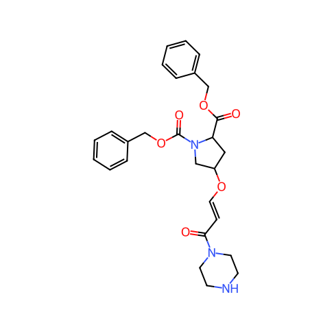 O=C(OCc1ccccc1)C1CC(OC=CC(=O)N2CCNCC2)CN1C(=O)OCc1ccccc1